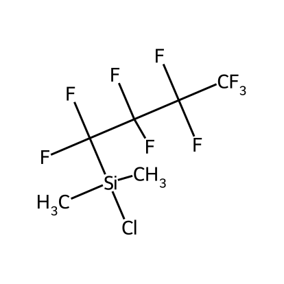 C[Si](C)(Cl)C(F)(F)C(F)(F)C(F)(F)C(F)(F)F